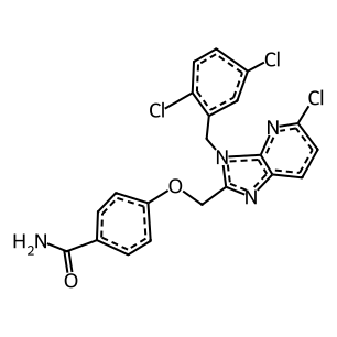 NC(=O)c1ccc(OCc2nc3ccc(Cl)nc3n2Cc2cc(Cl)ccc2Cl)cc1